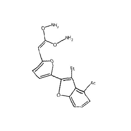 CCc1c(-c2ccc(C=C(ON)ON)o2)oc2cccc(C(C)=O)c12